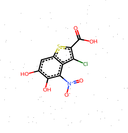 O=C(O)c1sc2cc(O)c(O)c([N+](=O)[O-])c2c1Cl